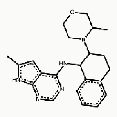 Cc1cc2c(NC3c4ccccc4CCC3N3CCOCC3C)ncnc2[nH]1